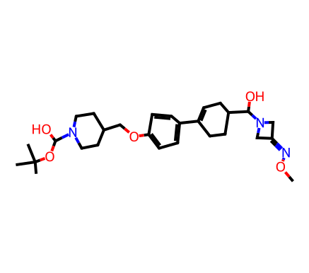 CON=C1CN(C(O)C2CC=C(c3ccc(OCC4CCN(C(O)OC(C)(C)C)CC4)cc3)CC2)C1